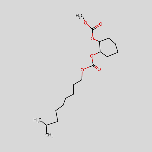 COC(=O)OC1CCCCC1OC(=O)OCCCCCCCC(C)C